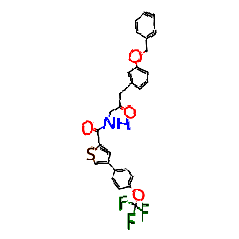 O=C(CNC(=O)c1cc(-c2ccc(OC(F)(F)F)cc2)cs1)Cc1cccc(OCc2ccccc2)c1